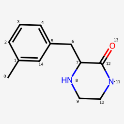 Cc1cccc(CC2NCC[N]C2=O)c1